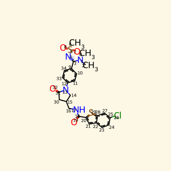 CN(C)/C(=N\S(C)(=O)=O)c1ccc(N2CC(CNC(=O)c3cc4ccc(Cl)cc4s3)CC2=O)cc1